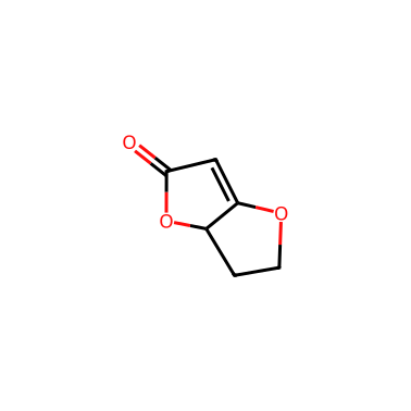 O=C1C=C2OCCC2O1